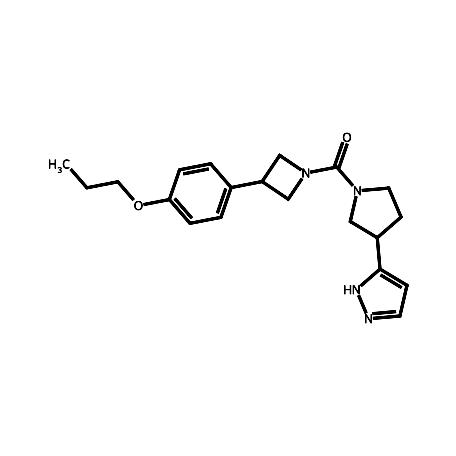 CCCOc1ccc(C2CN(C(=O)N3CCC(c4ccn[nH]4)C3)C2)cc1